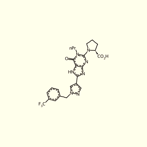 CCCn1c(N2CCC[C@H]2C(=O)O)nc2nc(-c3cnn(Cc4cccc(C(F)(F)F)c4)c3)[nH]c2c1=O